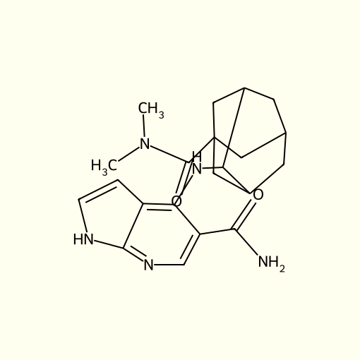 CN(C)C(=O)C12CC3CC(C1)C(Nc1c(C(N)=O)cnc4[nH]ccc14)C(C3)C2